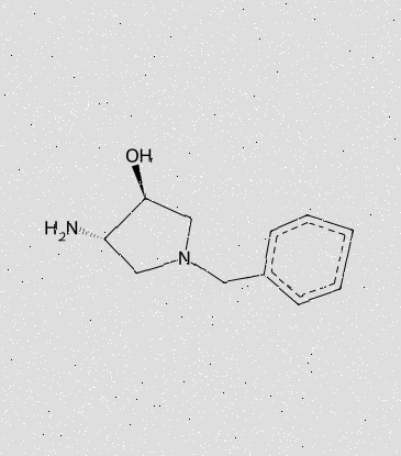 N[C@H]1CN(Cc2ccccc2)C[C@@H]1O